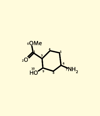 COC(=O)C1CCC(N)CC1O